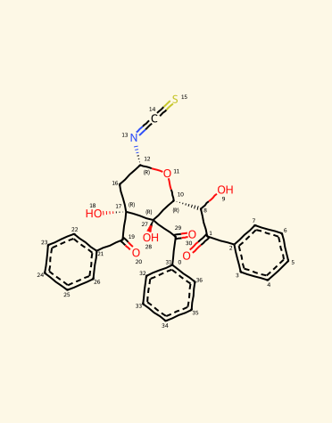 O=C(c1ccccc1)C(O)[C@H]1O[C@@H](N=C=S)C[C@](O)(C(=O)c2ccccc2)[C@@]1(O)C(=O)c1ccccc1